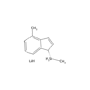 C[SiH2]C1C=Cc2c(C)cccc21.[LiH]